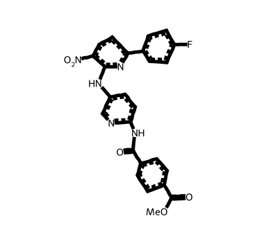 COC(=O)c1ccc(C(=O)Nc2ccc(Nc3nc(-c4ccc(F)cc4)ccc3[N+](=O)[O-])cn2)cc1